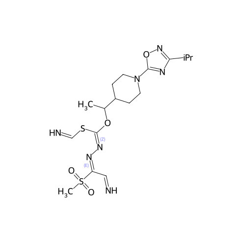 CC(C)c1noc(N2CCC(C(C)O/C(=N/N=C(\C=N)S(C)(=O)=O)SC=N)CC2)n1